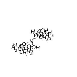 CC(C)(C)[Si](C)(C)OCCN(CCO[Si](C)(C)C(C)(C)C)CC(=O)O